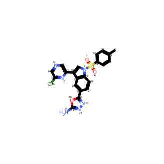 Cc1ccc(S(=O)(=O)n2cc(-c3cncc(Cl)n3)c3cc(-c4nnc(N)o4)ccc32)cc1